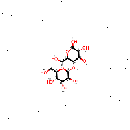 OCC1OC(O)[C@@H](O)C(O)[C@@H]1O[C@H]1OC(CO)[C@@H](O)[C@H](O)C1O